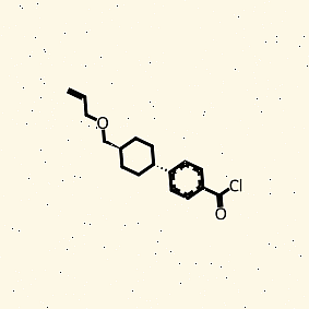 C=CCOC[C@H]1CC[C@H](c2ccc(C(=O)Cl)cc2)CC1